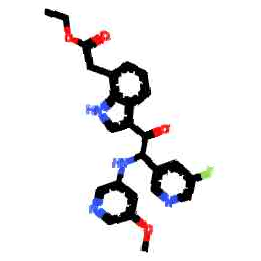 CCOC(=O)Cc1cccc2c(C(=O)C(Nc3cncc(OC)c3)c3cncc(F)c3)c[nH]c12